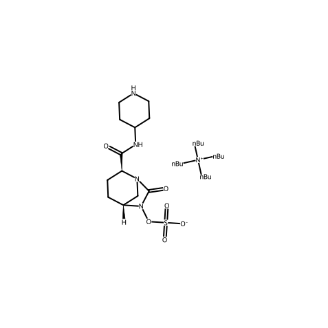 CCCC[N+](CCCC)(CCCC)CCCC.O=C(NC1CCNCC1)[C@@H]1CC[C@@H]2CN1C(=O)N2OS(=O)(=O)[O-]